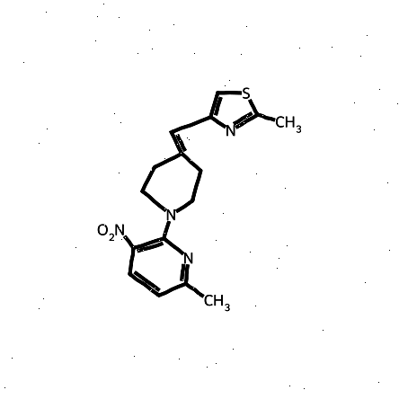 Cc1ccc([N+](=O)[O-])c(N2CCC(=Cc3csc(C)n3)CC2)n1